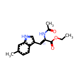 CCOC(=O)/C(=C/c1c[nH]c2cc(C)ccc12)NC(C)=O